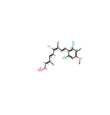 COc1cc(Cl)c(/C=C/C(C)=C(F)\C=C\C(C)=C\CO)c(Cl)c1C